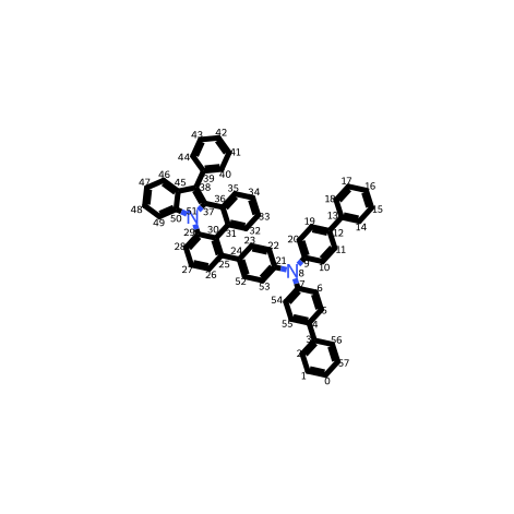 c1ccc(-c2ccc(N(c3ccc(-c4ccccc4)cc3)c3ccc(-c4cccc5c4c4ccccc4c4c(-c6ccccc6)c6ccccc6n54)cc3)cc2)cc1